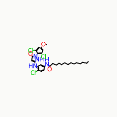 CCCCCCCCCCCCCC(=O)Nc1ccc(Cl)c(Nc2cc(=O)n(-c3c(Cl)cc(OC)cc3Cl)[nH]2)c1